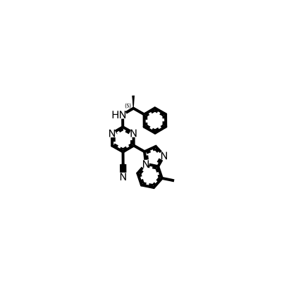 Cc1cccn2c(-c3nc(N[C@@H](C)c4ccccc4)ncc3C#N)cnc12